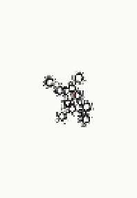 c1ccc(-c2ccc(N(c3ccccc3-c3ccccc3-n3c4ccc(-c5ccccc5)cc4c4cc(-c5ccccc5)ccc43)c3cccc4c3sc3ccccc34)cc2)cc1